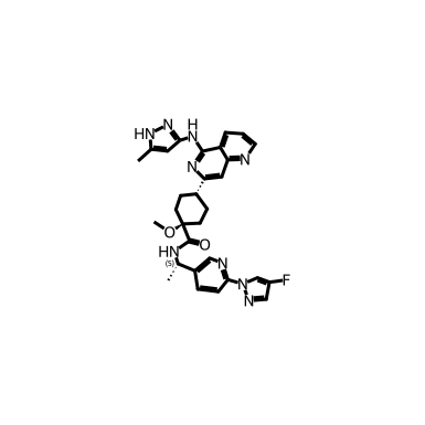 CO[C@]1(C(=O)N[C@@H](C)c2ccc(-n3cc(F)cn3)nc2)CC[C@@H](c2cc3ncccc3c(Nc3cc(C)[nH]n3)n2)CC1